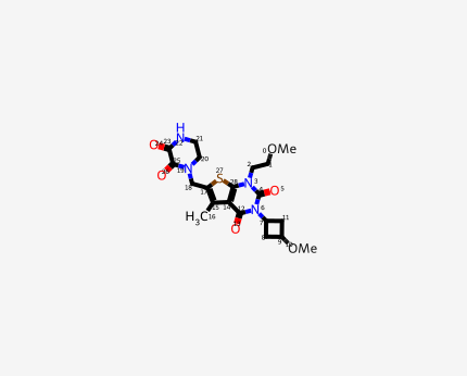 COCCn1c(=O)n(C2CC(OC)C2)c(=O)c2c(C)c(CN3CCNC(=O)C3=O)sc21